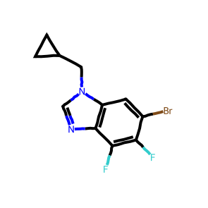 Fc1c(Br)cc2c(ncn2CC2CC2)c1F